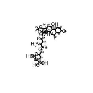 CC1(C)O[C@@H]2CC3[C@@H]4CC(F)C5=CC(=O)C=C[C@]5(C)C4[C@@H](O)C[C@]3(C)[C@]2(C(=O)COC(=O)CC(N)C(=O)OCC(CON(O)O)ON(O)O)O1